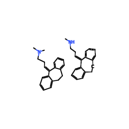 CN(C)CCC=C1c2ccccc2CCc2ccccc21.CNCCC=C1c2ccccc2CCc2ccccc21